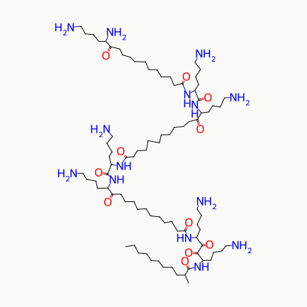 CCCCCCCCCC(C)C(=O)NC(CCCCN)C(=O)C(=O)C(CCCCN)NC(=O)CCCCCCCCCCC(=O)C(CCCCN)NC(=O)C(CCCCN)NC(=O)CCCCCCCCCCC(=O)C(CCCCN)NC(=O)C(CCCCN)NC(=O)CCCCCCCCCCC(=O)C(N)CCCCN